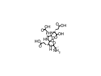 C[C@H](N)C(=O)N[C@H](CCC(=O)O)C(=O)N[C@H](CCC(=O)O)C(=O)N[C@H](CCC(=O)O)C(=O)O